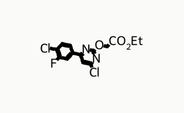 CCOC(=O)COc1nc(Cl)cc(-c2ccc(Cl)c(F)c2)n1